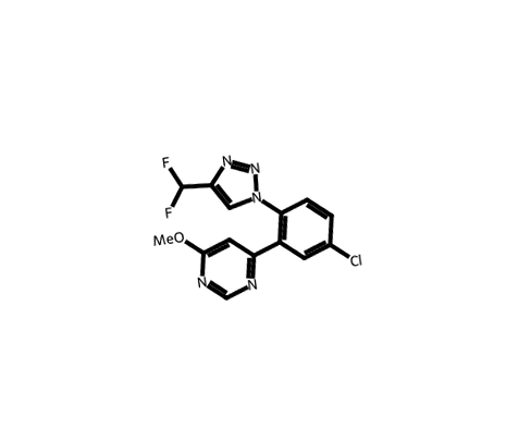 COc1cc(-c2cc(Cl)ccc2-n2cc(C(F)F)nn2)ncn1